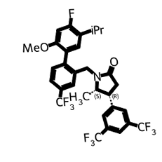 COc1cc(F)c(C(C)C)cc1-c1ccc(C(F)(F)F)cc1CN1C(=O)C[C@H](c2cc(C(F)(F)F)cc(C(F)(F)F)c2)[C@@H]1C